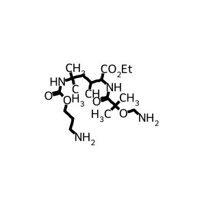 CCOC(=O)C(NC(=O)C(C)(C)OCN)C(C)CC(C)(C)NC(=O)OCCCN